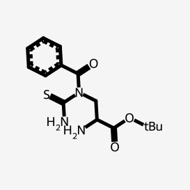 CC(C)(C)OC(=O)C(N)CN(C(=O)c1ccccc1)C(N)=S